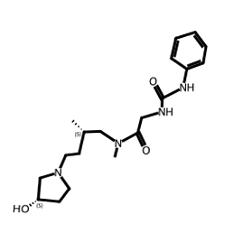 C[C@@H](CCN1CC[C@H](O)C1)CN(C)C(=O)CNC(=O)Nc1ccccc1